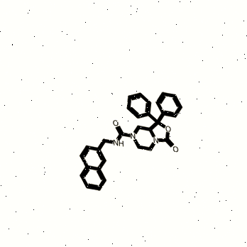 O=C(NCc1ccc2ccccc2c1)N1CCN2C(=O)OC(c3ccccc3)(c3ccccc3)C2C1